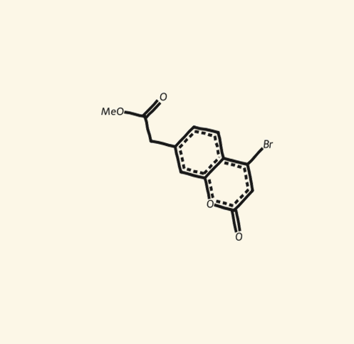 COC(=O)Cc1ccc2c(Br)cc(=O)oc2c1